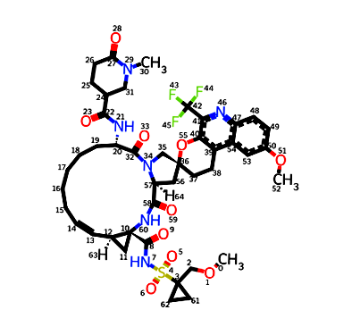 COCC1(S(=O)(=O)NC(=O)[C@@]23C[C@H]2/C=C\CCCCC[C@H](NC(=O)C2CCC(=O)N(C)C2)C(=O)N2C[C@@]4(CCc5c(c(C(F)(F)F)nc6ccc(OC)cc56)O4)C[C@H]2C(=O)N3)CC1